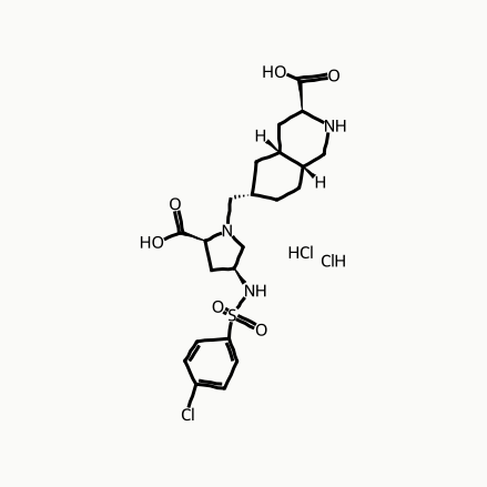 Cl.Cl.O=C(O)[C@@H]1C[C@H]2C[C@@H](CN3C[C@@H](NS(=O)(=O)c4ccc(Cl)cc4)C[C@H]3C(=O)O)CC[C@H]2CN1